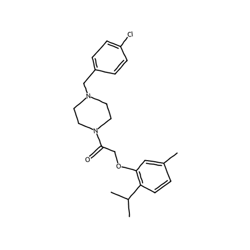 Cc1ccc(C(C)C)c(OCC(=O)N2CCN(Cc3ccc(Cl)cc3)CC2)c1